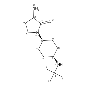 CC(C)(C)N[C@H]1CC[C@@H](N2CCC(N)C2=O)CC1